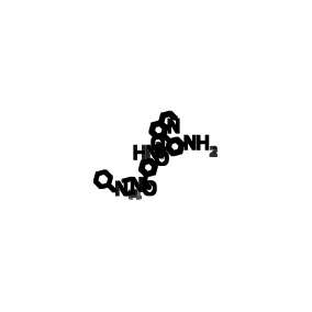 C[C@@H]1CN(CC2CCCCC2)CCN1C(=O)c1ccc(NS(=O)(=O)c2ccc(N)cc2-c2cccc3cccnc23)cc1